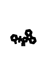 CCOCC1(CO[Si](C)(C)c2ccccc2C)c2ccccc2-c2ccccc21